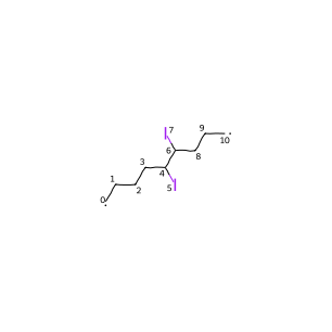 [CH2]CCCC(I)C(I)CC[CH2]